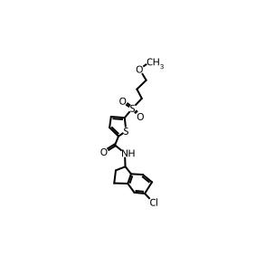 COCCCS(=O)(=O)c1ccc(C(=O)NC2CCc3cc(Cl)ccc32)s1